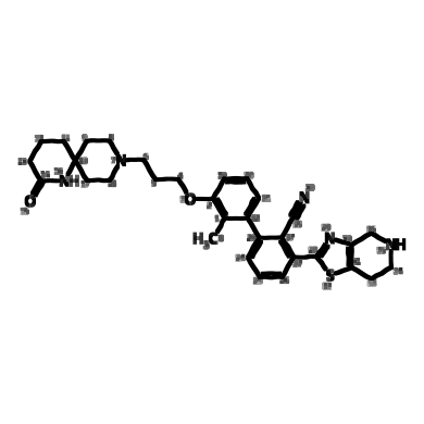 Cc1c(OCCCN2CCC3(CCCC(=O)N3)CC2)cccc1-c1cccc(-c2nc3c(s2)CCNC3)c1C#N